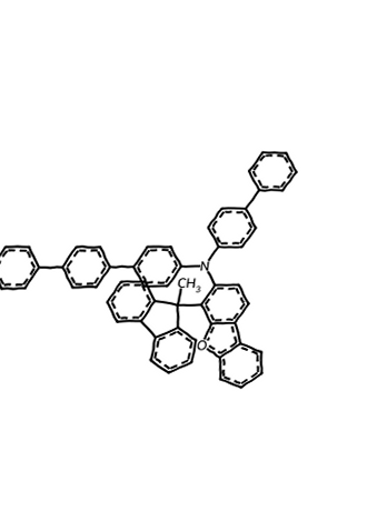 CC1(c2c(N(c3ccc(-c4ccccc4)cc3)c3ccc(-c4ccc(-c5ccccc5)cc4)cc3)ccc3c2oc2ccccc23)c2ccccc2-c2ccccc21